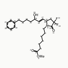 COC(=O)CCCCCCN1C(=O)C(F)(F)C[C@@H]1C=CC(O)CCCCc1ccccc1